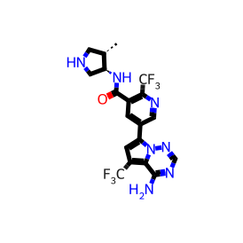 C[C@H]1CNC[C@H]1NC(=O)c1cc(-c2cc(C(F)(F)F)c3c(N)ncnn23)cnc1C(F)(F)F